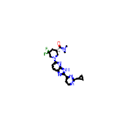 CN(C)C(=O)[C@@H]1CN(c2ccc3nc(-c4ccnc(C5CC5)n4)[nH]c3n2)CC(F)(F)C1